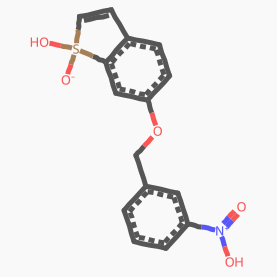 O=[N+](O)c1cccc(COc2ccc3c(c2)S([O-])(O)C=C3)c1